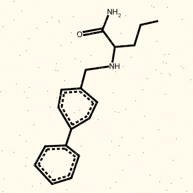 CCCC(NCc1ccc(-c2ccccc2)cc1)C(N)=O